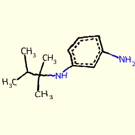 CC(C)C(C)(C)Nc1cccc(N)c1